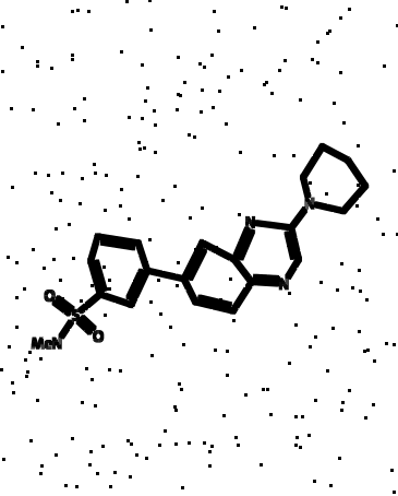 CNS(=O)(=O)c1cccc(-c2ccc3ncc(N4CCCCC4)nc3c2)c1